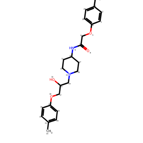 Cc1ccc(OCC(=O)NC2CCN(CC(O)COc3ccc(C)cc3)CC2)cc1